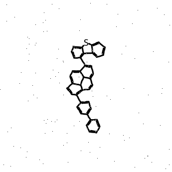 C1=CC2=C(c3ccc(-c4ccccc4)cc3)C=CC3=CC=C4C(c5cccc6sc7ccccc7c56)=CC=C1C4C32